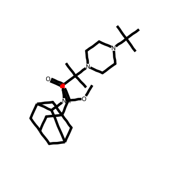 COC(=O)C12CC3CC(C1)C(NC(=O)C(C)(C)N1CCN(C(C)(C)C)CC1)C(C3)C2